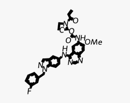 C=CC(=O)N1CCC[C@@H]1OC(=O)Nc1cc2c(Nc3ccc4c(cnn4Cc4cccc(F)c4)c3)ncnc2cc1OC